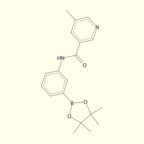 Cc1cncc(C(=O)Nc2cccc(B3OC(C)(C)C(C)(C)O3)c2)c1